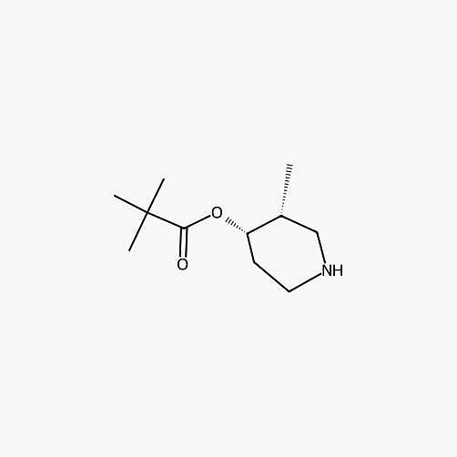 C[C@@H]1CNCC[C@@H]1OC(=O)C(C)(C)C